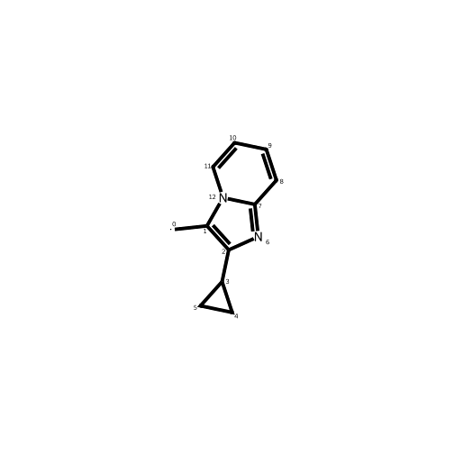 [CH2]c1c(C2CC2)nc2ccccn12